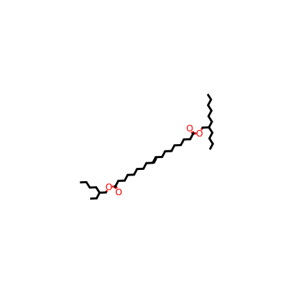 CCCCCCC(CCCC)COC(=O)CCCCCCCC=CCCCCCCCC(=O)OCC(CC)CCCC